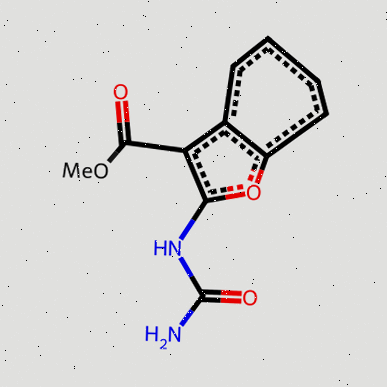 COC(=O)c1c(NC(N)=O)oc2ccccc12